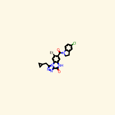 CCc1cc2c(cc1C(=O)N1CCc3cc(Cl)ccc31)[nH]c(=O)c1nnc(CC3CC3)n12